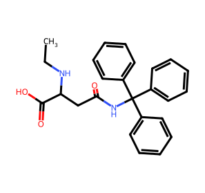 CCNC(CC(=O)NC(c1ccccc1)(c1ccccc1)c1ccccc1)C(=O)O